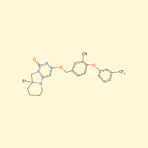 CCC12CCCCN1c1cc(OCc3ccc(Oc4cccc(C(F)(F)F)c4)c(C#N)c3)nc(=O)n1C2